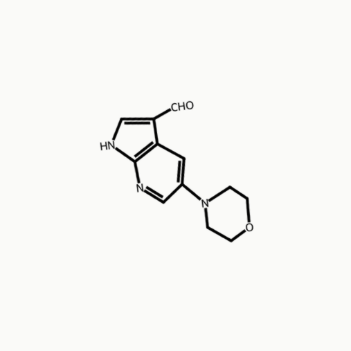 O=Cc1c[nH]c2ncc(N3CCOCC3)cc12